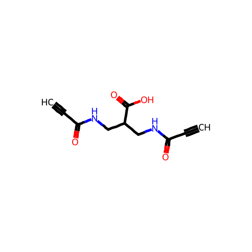 C#CC(=O)NCC(CNC(=O)C#C)C(=O)O